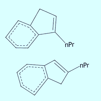 CCCC1=CCc2ccccc21.CCCC1=Cc2ccccc2C1